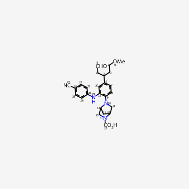 COCCC(CC=O)c1ccc(N2CC3CC2CN3C(=O)O)c(Nc2ccc(C#N)cc2)c1